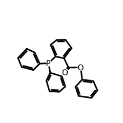 O=C(Oc1ccccc1)c1ccccc1P(c1ccccc1)c1ccccc1